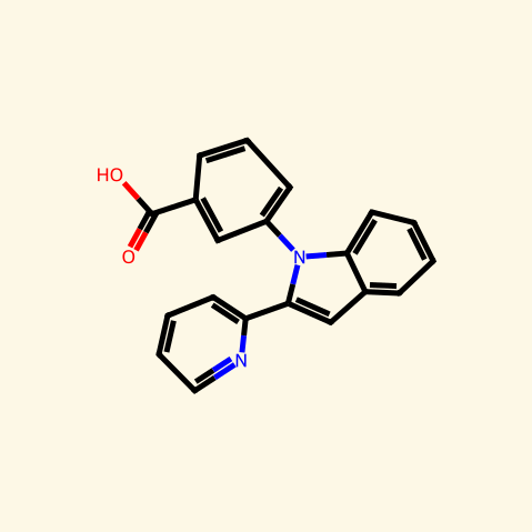 O=C(O)c1cccc(-n2c(-c3ccccn3)cc3ccccc32)c1